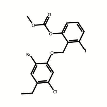 CCc1cc(Br)c(OCc2c(I)cccc2OC(=O)OC)cc1Cl